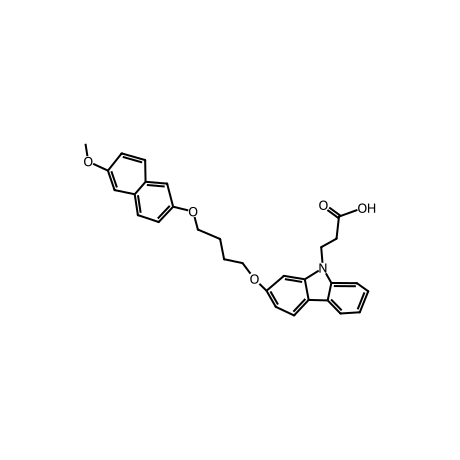 COc1ccc2cc(OCCCCOc3ccc4c5ccccc5n(CCC(=O)O)c4c3)ccc2c1